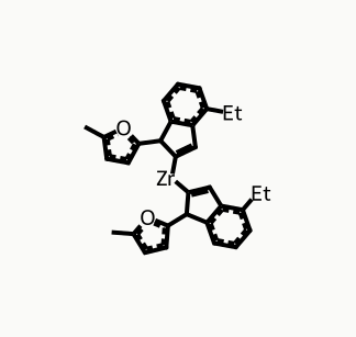 CCc1cccc2c1C=[C]([Zr][C]1=Cc3c(CC)cccc3C1c1ccc(C)o1)C2c1ccc(C)o1